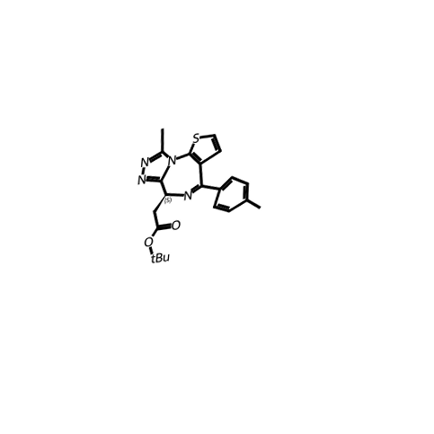 Cc1ccc(C2=N[C@@H](CC(=O)OC(C)(C)C)c3nnc(C)n3-c3sccc32)cc1